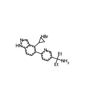 Br.CCC(N)(CC)c1ccc(-c2ccc3[nH]ncc3c2C2CC2)nc1